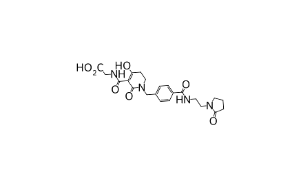 O=C(O)CNC(=O)C1=C(O)CCN(Cc2ccc(C(=O)NCCN3CCCC3=O)cc2)C1=O